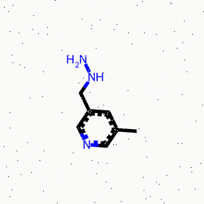 Cc1cncc(CNN)c1